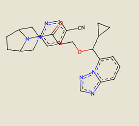 N#Cc1ccc(N2C3CCC2CN(C(=O)CCOC(c2cccc4ncnn24)C2CC2)C3)nc1